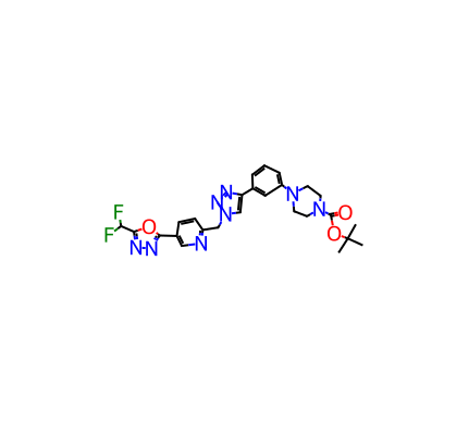 CC(C)(C)OC(=O)N1CCN(c2cccc(-c3cn(Cc4ccc(-c5nnc(C(F)F)o5)cn4)nn3)c2)CC1